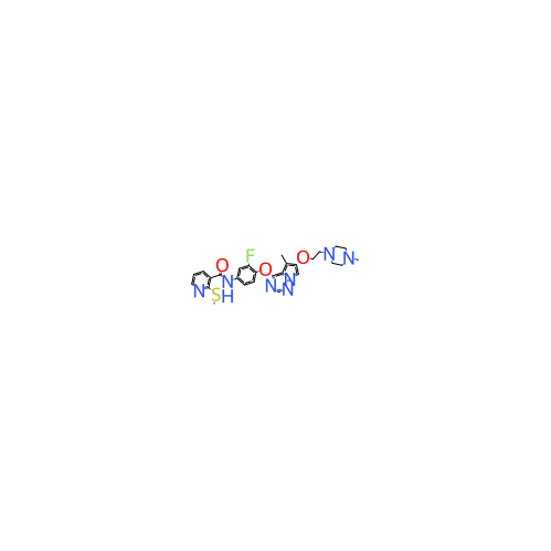 CSc1ncccc1C(=O)Nc1ccc(Oc2ncnn3cc(OCCN4CCN(C)CC4)c(C)c23)c(F)c1